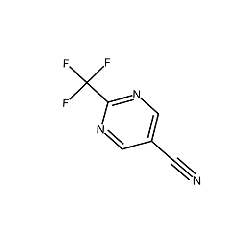 N#Cc1cnc(C(F)(F)F)nc1